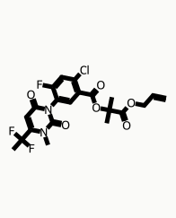 C=CCOC(=O)C(C)(C)OC(=O)c1cc(-n2c(=O)cc(C(C)(F)F)n(C)c2=O)c(F)cc1Cl